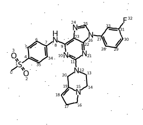 CS(=O)(=O)c1ccc(Nc2nc(N3CCN4CCC=C4C3)nc3c2ncn3-c2cccc(F)c2)cc1